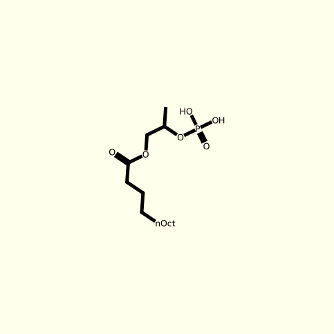 CCCCCCCCCCCC(=O)OCC(C)OP(=O)(O)O